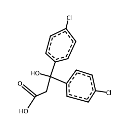 O=C(O)CC(O)(c1ccc(Cl)cc1)c1ccc(Cl)cc1